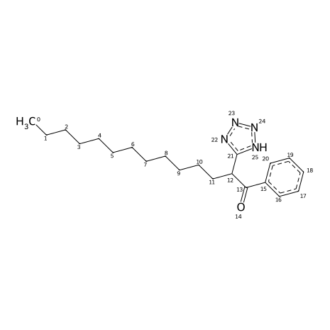 CCCCCCCCCCCCC(C(=O)c1ccccc1)c1nnn[nH]1